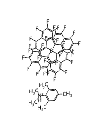 Cc1cc(C)c([NH+](C)C)c(C)c1.Fc1c(F)c(F)c2c([B-](c3c(F)c(F)c(F)c4c(F)c(F)c(F)c(F)c34)(c3c(F)c(F)c(F)c4c(F)c(F)c(F)c(F)c34)c3c(F)c(F)c(F)c4c(F)c(F)c(F)c(F)c34)c(F)c(F)c(F)c2c1F